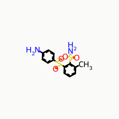 Cc1cccc(S(=O)(=O)c2ccc(N)cc2)c1S(N)(=O)=O